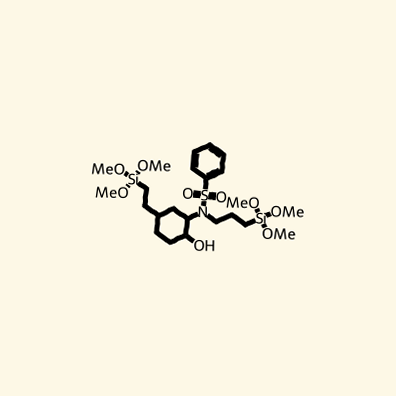 CO[Si](CCCN(C1CC(CC[Si](OC)(OC)OC)CCC1O)S(=O)(=O)c1ccccc1)(OC)OC